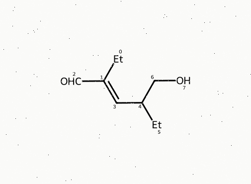 CC/C(C=O)=C\C(CC)CO